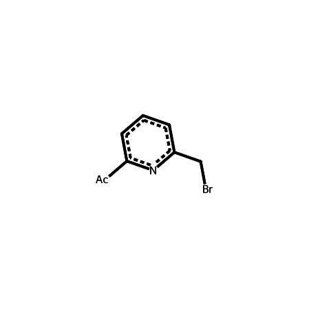 CC(=O)c1cccc(CBr)n1